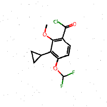 COc1c(C(=O)Cl)ccc(OC(F)F)c1C1CC1